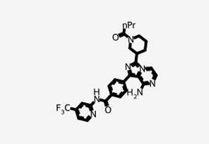 CCCC(=O)N1CCCC(c2nc(-c3ccc(C(=O)Nc4cc(C(F)(F)F)ccn4)cc3)c3c(N)nccn23)C1